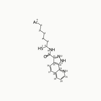 CC(=O)CCCCCC(S)NC(=O)c1n[nH]c2c1ccc1cccnc12